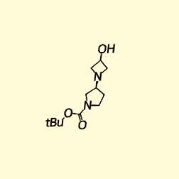 CC(C)(C)OC(=O)N1CC[C@H](N2CC(O)C2)C1